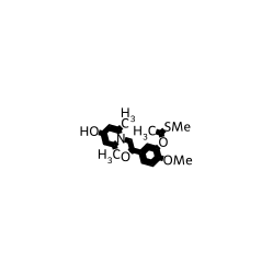 COc1ccc(C(=O)CN2C(C)=CC(O)=CC2C)cc1OC(C)SC